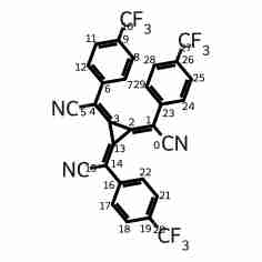 N#CC(=C1C(=C(C#N)c2ccc(C(F)(F)F)cc2)C1=C(C#N)c1ccc(C(F)(F)F)cc1)c1ccc(C(F)(F)F)cc1